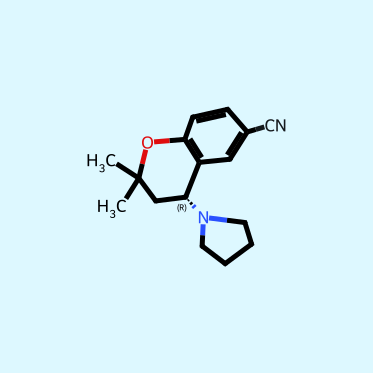 CC1(C)C[C@@H](N2CCCC2)c2cc(C#N)ccc2O1